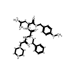 COc1ccc(COC(=O)[C@H](CC(C)C)NC(=O)[C@H](CCc2ccccc2)NC(=O)CN2CCOCC2)cc1